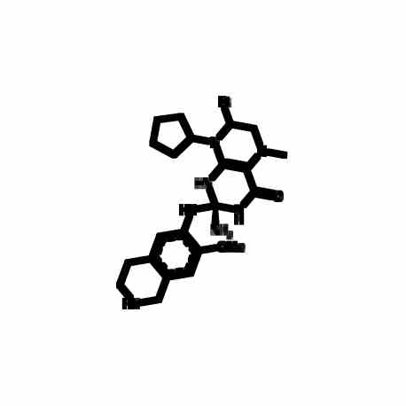 CCC1CN(C)C2=C(N[C@@](N)(Nc3cc4c(cc3OC)CNCC4)NC2=O)N1C1CCCC1